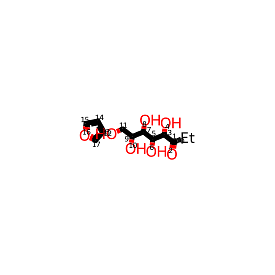 CCC(=O)C(O)C(O)C(O)C(O)CO.c1ccoc1